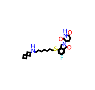 O=C1CCC(N2Cc3c(SCCCCCCCNC4CC5(CCC5)C4)cc(F)cc3C2=O)C(=O)N1